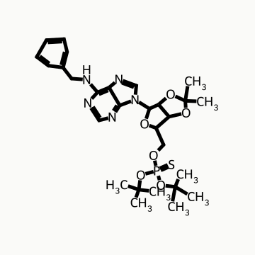 CC(C)(C)OP(=S)(OCC1OC(n2cnc3c(NCc4ccccc4)ncnc32)C2OC(C)(C)OC12)OC(C)(C)C